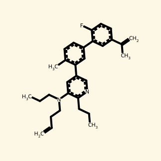 C=CCCN(CCC)c1cc(-c2cc(-c3cc(C(=C)C)ccc3F)ccc2C)cnc1CCC